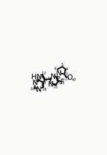 COCC1CCCN1c1nc(-c2c[nH]c3ncncc23)ncc1F